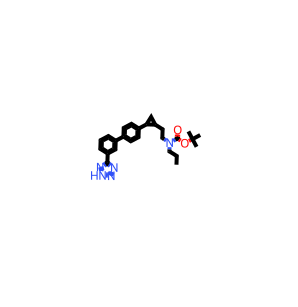 CCCN(CCC1CC1c1ccc(-c2cccc(-c3nn[nH]n3)c2)cc1)C(=O)OC(C)(C)C